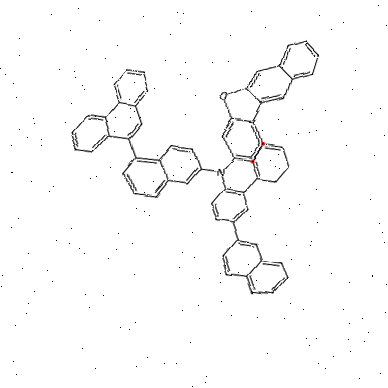 C1=C=c2c(oc3cc4ccccc4cc23)=CC=1N(c1ccc2c(-c3cc4ccccc4c4ccccc34)cccc2c1)c1ccc(-c2ccc3ccccc3c2)cc1C1=CC=CCC1